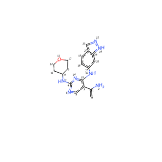 C=C(N)c1cnc(NC2CCOCC2)nc1Nc1ccc2cn[nH]c2c1